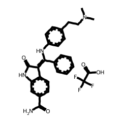 CN(C)CCc1ccc(N/C(=C2\C(=O)Nc3cc(C(N)=O)ccc32)c2ccccc2)cc1.O=C(O)C(F)(F)F